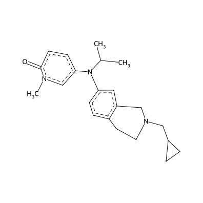 CC(C)N(c1ccc2c(c1)CN(CC1CC1)CC2)c1ccc(=O)n(C)c1